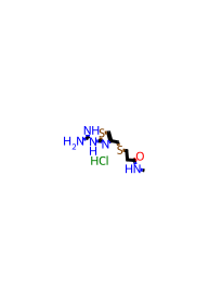 CNC(=O)CCSCc1csc(NC(=N)N)n1.Cl